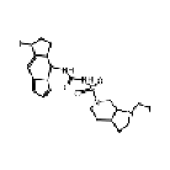 O=C(NC1C2C=CC=C2C=C2C(I)CCC21)NS(=O)(=O)N1CCC2CCN(CI)C2C1